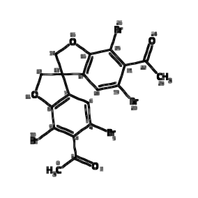 CC(=O)c1c(Br)cc2c(c1Br)OCC21COc2c1cc(Br)c(C(C)=O)c2Br